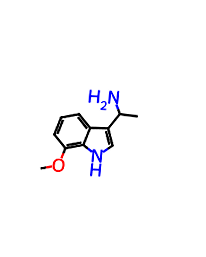 COc1cccc2c(C(C)N)c[nH]c12